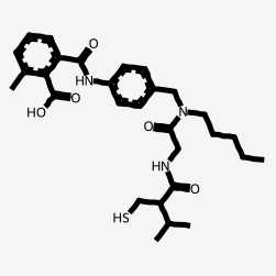 CCCCCN(Cc1ccc(NC(=O)c2cccc(C)c2C(=O)O)cc1)C(=O)CNC(=O)C(CS)C(C)C